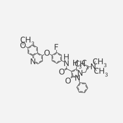 COc1ccc2c(Oc3ccc(NC(=O)c4c(C)n(C[C@H](C)N(C)C)n(-c5ccccc5)c4=O)cc3F)ccnc2c1